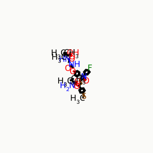 CSc1ccc(C(CS[C@H]2C(=O)N(c3ccc(F)cc3)[C@@H]2c2ccc(OCC(=O)NCC(=O)N[C@@H](C(=O)O)C(C)(C)C)cc2)OC(=O)[C@@H](N)C(C)C)cc1